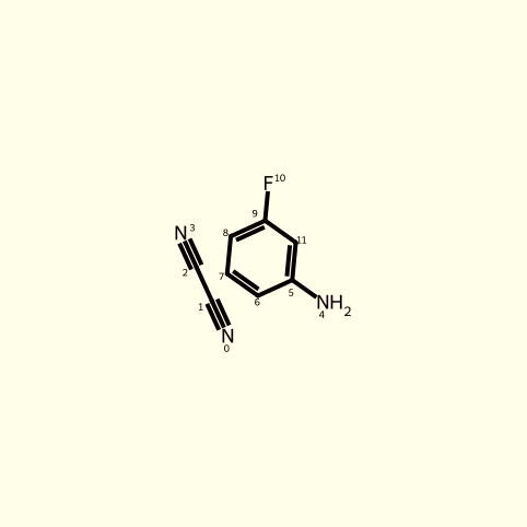 N#CC#N.Nc1cccc(F)c1